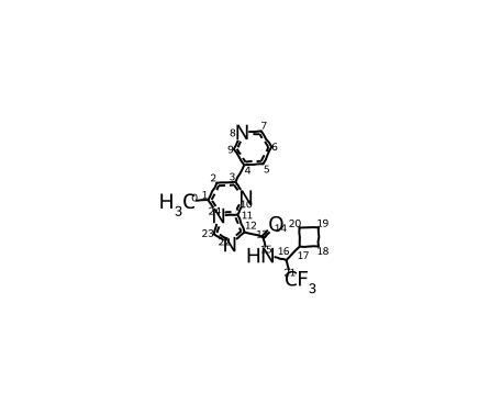 Cc1cc(-c2cccnc2)nc2c(C(=O)NC(C3CCC3)C(F)(F)F)ncn12